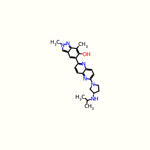 Cc1c(O)c(-c2ccc3nc(N4CC[C@@H](NC(C)C)C4)ccc3n2)cc2cn(C)nc12